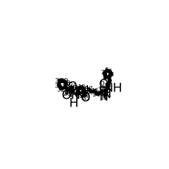 O=C(Cc1ccccc1)Nc1nnc(CCCCn2ccc(NC(=O)[C@@H](O)c3ccccc3)nc2=O)s1